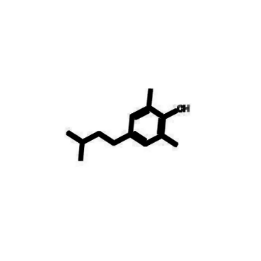 Cc1cc(CCC(C)C)cc(C)c1O